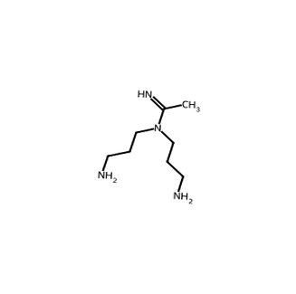 CC(=N)N(CCCN)CCCN